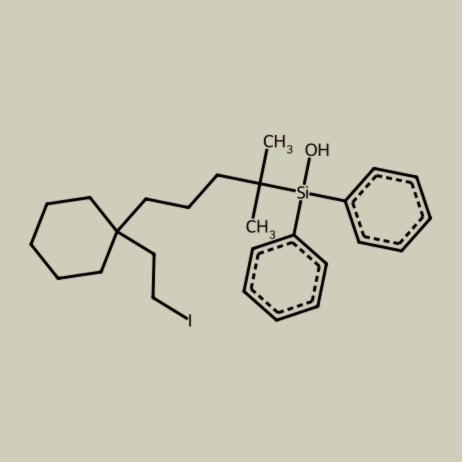 CC(C)(CCCC1(CCI)CCCCC1)[Si](O)(c1ccccc1)c1ccccc1